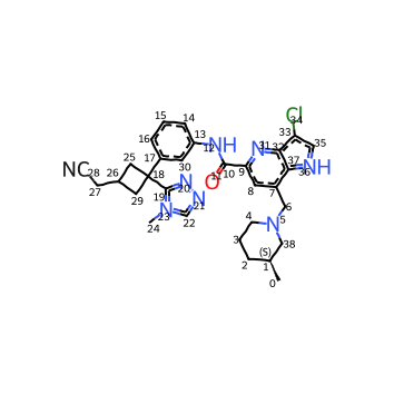 C[C@H]1CCCN(Cc2cc(C(=O)Nc3cccc(C4(c5nncn5C)CC(CC#N)C4)c3)nc3c(Cl)c[nH]c23)C1